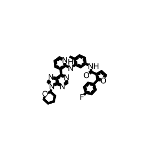 Cc1ccc(NC(=O)c2ccoc2-c2ccc(F)cc2)cc1Nc1ncccc1-c1ncnc2c1ncn2C1CCCCO1